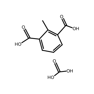 Cc1c(C(=O)O)cccc1C(=O)O.O=C(O)O